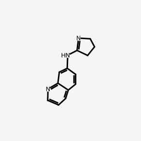 c1cnc2cc(NC3=NCCC3)ccc2c1